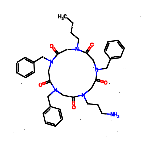 CCCCN1CC(=O)N(Cc2ccccc2)CC(=O)N(Cc2ccccc2)CC(=O)N(CCCN)CC(=O)N(Cc2ccccc2)CC1=O